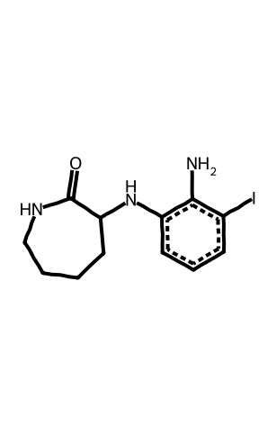 Nc1c(I)cccc1NC1CCCCNC1=O